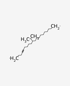 [CH2]CCC#CCCCCC(CCCCCCCCC[CH2])C(C)C